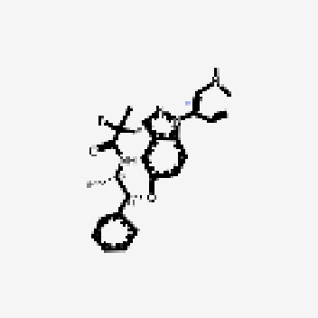 C=C/C(=C\N(C)C)n1ncc2cc(O[C@H](c3ccccc3)[C@@H](NC(=O)C(C)(F)F)C(C)C)ccc21